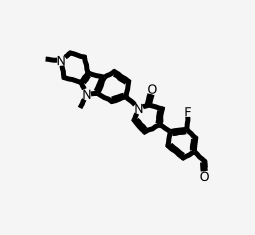 CN1CCc2c(n(C)c3cc(-n4ccc(-c5ccc(C=O)cc5F)cc4=O)ccc23)C1